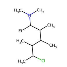 CCC(C(C)C(C)C(C)C(C)Cl)N(C)C